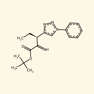 CC[C@H](C(=N)C(=O)OC(C)(C)C)c1cn(-c2ccccc2)nn1